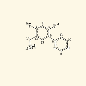 Fc1cc(F)c(-c2ccccc2)cc1CS